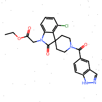 CCOC(=O)CN1C(=O)C2(CCN(C(=O)c3ccc4[nH]ncc4c3)CC2)c2c(Cl)cccc21